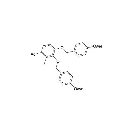 COc1ccc(COc2ccc(C(C)=O)c(C)c2OCc2ccc(OC)cc2)cc1